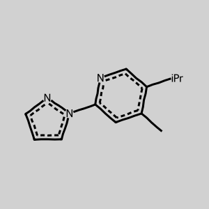 Cc1cc(-n2cccn2)ncc1C(C)C